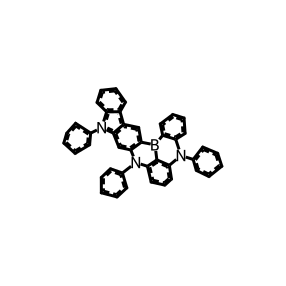 c1ccc(N2c3ccccc3B3c4cc5c6ccccc6n(-c6ccccc6)c5cc4N(c4ccccc4)c4cccc2c43)cc1